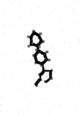 C=C/C=C(\C=C/C)c1ccc(-c2ccccn2)nc1